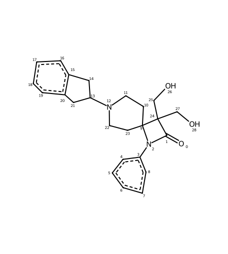 O=C1N(c2ccccc2)C2(CCN(C3Cc4ccccc4C3)CC2)C1(CO)CO